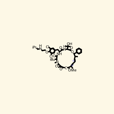 CCC(C)C1C(=O)NC(Cc2cc(Cl)c(OCCNCC(C)C)c(Cl)c2)C(=O)NC(C(C)(C)O)C(=O)OC(c2ccccc2)C(C)/C=C/C=C(\C)C(OC)CC2OC2(C)C(=O)N1C